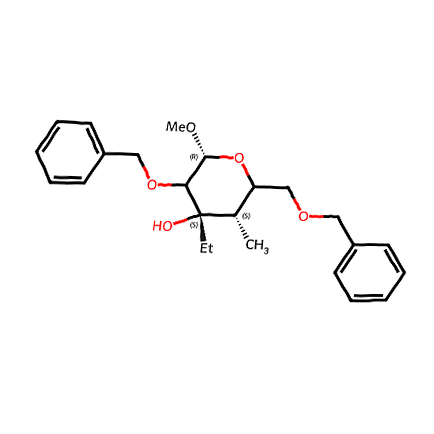 CC[C@@]1(O)C(OCc2ccccc2)[C@H](OC)OC(COCc2ccccc2)[C@@H]1C